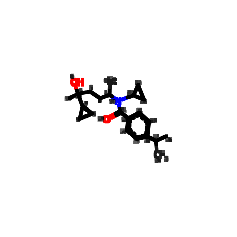 CCC(CC[C@@](C)(O)C1CC1)N(C(=O)c1ccc(C(C)C(F)(F)F)cc1)C1CC1